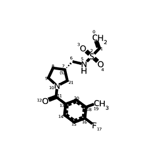 C=CS(=O)(=O)NC[C@H]1CCN(C(=O)c2ccc(F)c(C)c2)C1